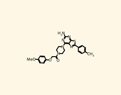 COc1ccc(OCC(=O)N2CCN(c3nc(N)nc4sc(-c5ccc(C)cc5)nc34)CC2)cc1